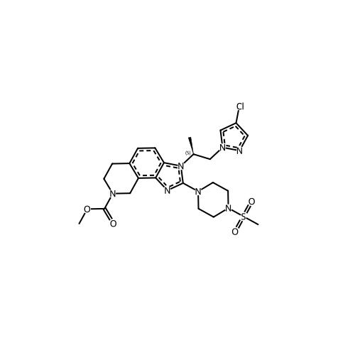 COC(=O)N1CCc2ccc3c(nc(N4CCN(S(C)(=O)=O)CC4)n3[C@@H](C)Cn3cc(Cl)cn3)c2C1